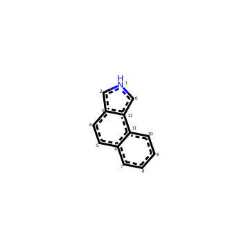 [c]1[nH]cc2ccc3ccccc3c12